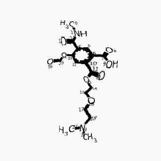 CNC(=O)c1cc(C(=O)O)c(C(=O)OCCOCCN(C)C)cc1OC=O